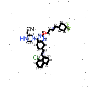 N#CC[C@H]1CN(c2nc(OCC/C=C/C3CCC(F)(F)CC3)nc3c2CCC(/C=C/c2cccc4cccc(Cl)c24)C3)CCN1